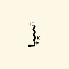 C#CCN(C)CCCCCCO.Cl